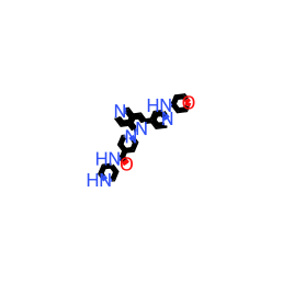 O=C(NC1CCNCC1)C1CCN(c2nc(-c3ccnc(NC4CCOCC4)c3)cc3cnccc23)CC1